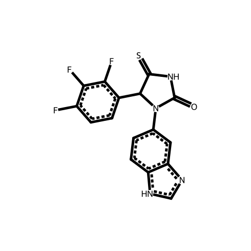 O=C1NC(=S)C(c2ccc(F)c(F)c2F)N1c1ccc2[nH]cnc2c1